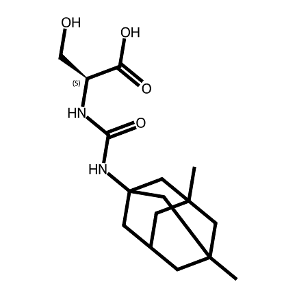 CC12CC3CC(C)(C1)CC(NC(=O)N[C@@H](CO)C(=O)O)(C3)C2